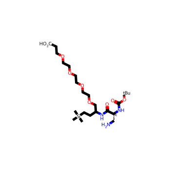 CC(C)(C)OC(=O)N[C@H](CN)C(=O)NC(CC[Si](C)(C)C)COCCOCCOCCOCCC(=O)O